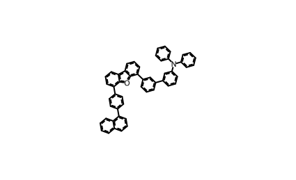 c1ccc(N(c2ccccc2)c2cccc(-c3cccc(-c4cccc5c4oc4c(-c6ccc(-c7cccc8ccccc78)cc6)cccc45)c3)c2)cc1